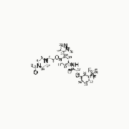 CC(=O)N1CCN(CCOc2ccc(NC(=O)COc3cccc(C(F)(F)F)c3)cc2-c2ccnn2C)CC1